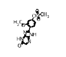 COc1cc(OS(C)(=O)=O)ccc1-c1nc2[nH]c(=O)cnc2[nH]1